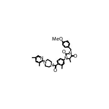 COc1ccc(CN2C(=O)C(C)N(c3ccc(C(=O)N4CCN(c5ncc(C)cc5C)CC4)c(C)c3)C2=O)cc1